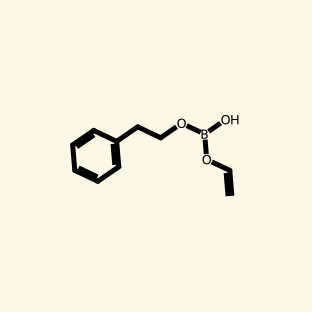 C=COB(O)OCCc1ccccc1